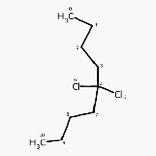 CCCCC(Cl)(Cl)CCCC